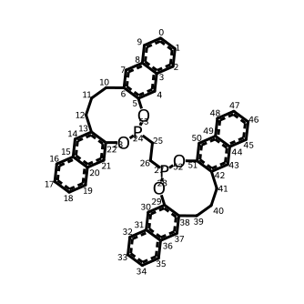 c1ccc2cc3c(cc2c1)CCCc1cc2ccccc2cc1OP(CCP1Oc2cc4ccccc4cc2CCCc2cc4ccccc4cc2O1)O3